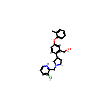 Cc1ccccc1Oc1ccc(C2CCN(Cc3ncccc3Cl)C2)c(CO)c1